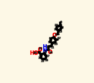 Cc1ccc(COc2ccc(/C=C/C(=O)Nc3ccccc3C(=O)O)cc2C)cc1